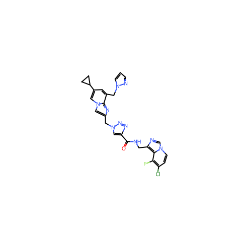 O=C(NCc1ncn2ccc(Cl)c(F)c12)c1cn(Cc2cn3cc(C4CC4)cc(Cn4cccn4)c3n2)nn1